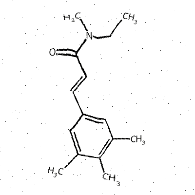 CCN(C)C(=O)/C=C/c1cc(C)c(C)c(C)c1